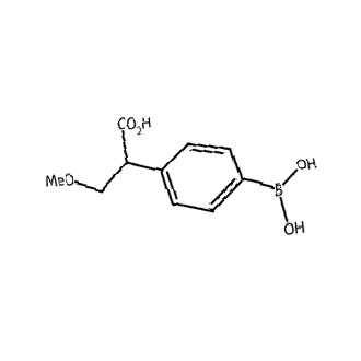 COCC(C(=O)O)c1ccc(B(O)O)cc1